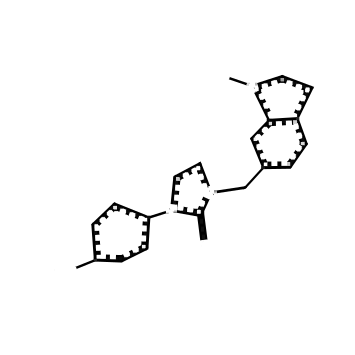 CCOC(=O)c1ccc(-n2ccn(Cc3ccc4ccn(C)c4c3)c2=O)cc1